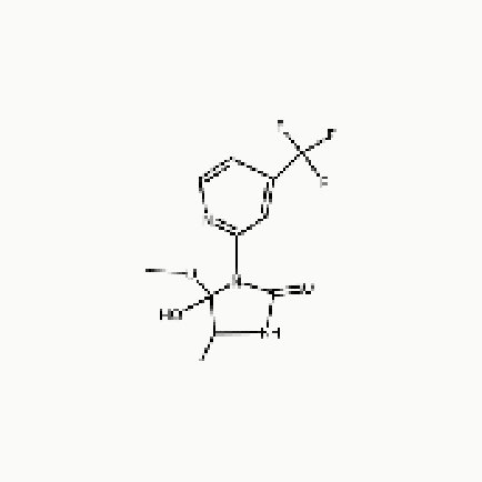 COC1(O)C(C)NC(=O)N1c1cc(C(F)(F)F)ccn1